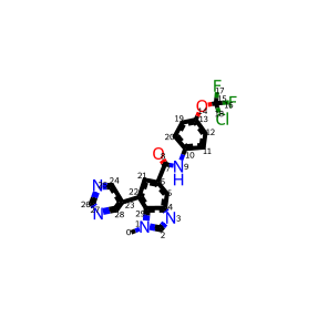 Cn1cnc2cc(C(=O)Nc3ccc(OC(F)(F)Cl)cc3)cc(-c3cncnc3)c21